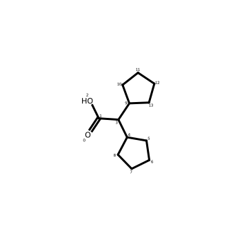 O=C(O)C(C1CCCC1)C1CCCC1